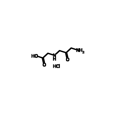 Cl.NCC(=O)CNCC(=O)O